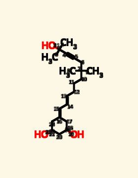 CC(C)(O)C#CCC(C)(C)CCCC=CC=C1C[C@@H](O)C[C@H](O)C1